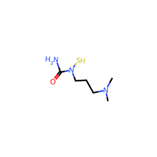 CN(C)CCCN(S)C(N)=O